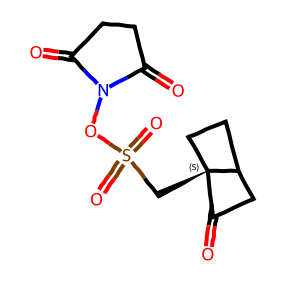 O=C1CCC(=O)N1OS(=O)(=O)C[C@@]12CCC1CC2=O